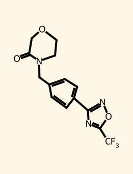 O=C1COCCN1Cc1ccc(-c2noc(C(F)(F)F)n2)cc1